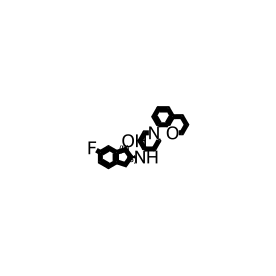 O[C@@H]1c2cc(F)ccc2C[C@@H]1NC1CCN(c2cccc3c2OCCC3)CC1